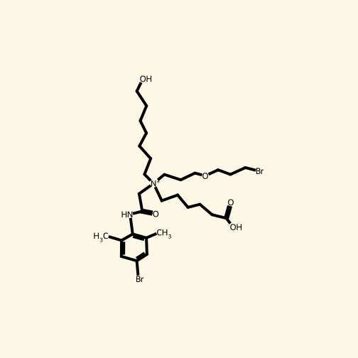 Cc1cc(Br)cc(C)c1NC(=O)C[N+](CCCCCCCO)(CCCCCC(=O)O)CCCOCCCBr